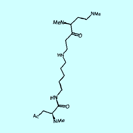 CNCC[C@H](NC)C(=O)CCNCCCCCNC(=O)[C@H](CC(C)=O)NC